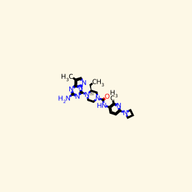 CC[C@H]1CN(C(=O)Nc2ccc(N3CCC3)nc2C)CCN1c1nc(N)nc2c(C)cnn12